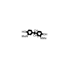 CNc1cc(C(C)(C)c2ccc(O)c(NC)c2)ccc1O